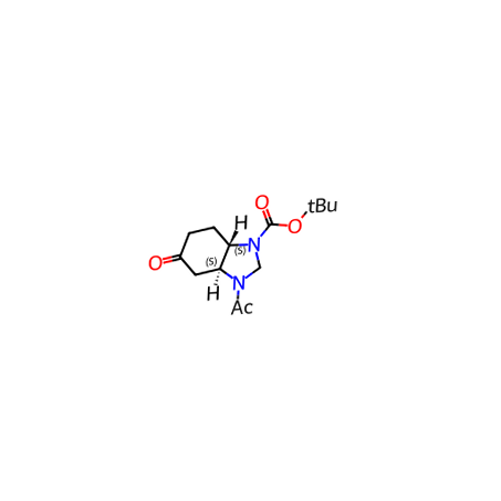 CC(=O)N1CN(C(=O)OC(C)(C)C)[C@H]2CCC(=O)C[C@@H]21